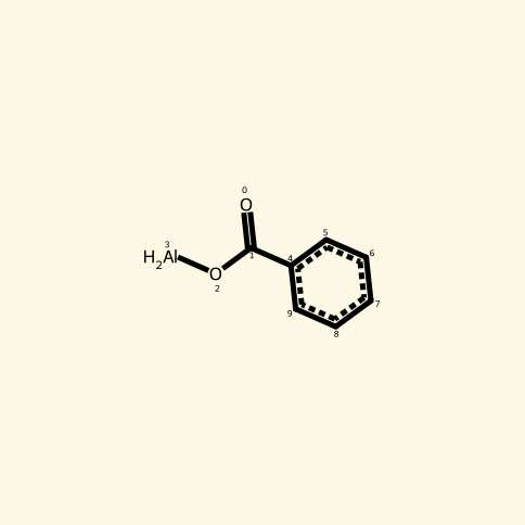 O=C([O][AlH2])c1ccccc1